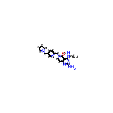 CCCCNc1nc(N)nc2ccn(Cc3ccc(CN4CCCC4)cn3)c(=O)c12